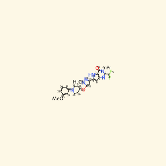 CCCn1c(C(F)F)nc2cc(-c3cc(OC4CCN(c5cccc(OC)c5)CC4)n(C)n3)[nH]c2c1=O